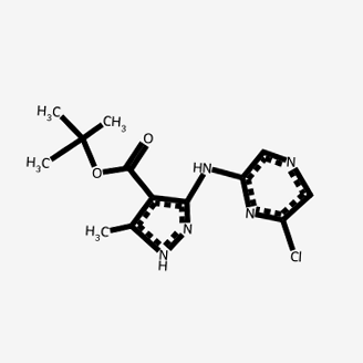 Cc1[nH]nc(Nc2cncc(Cl)n2)c1C(=O)OC(C)(C)C